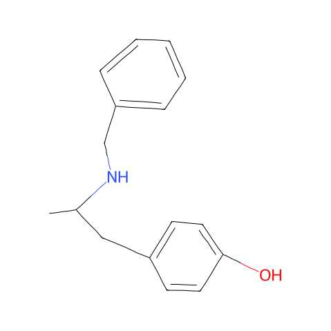 CC(Cc1ccc(O)cc1)NCc1ccccc1